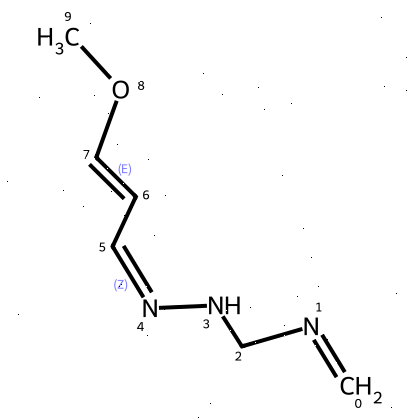 C=NCN/N=C\C=C\OC